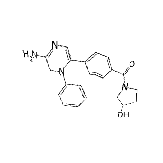 NC1=NC=C(c2ccc(C(=O)N3CCC(O)C3)cc2)N(c2ccccc2)C1